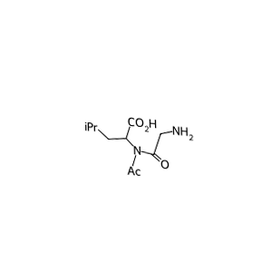 CC(=O)N(C(=O)CN)C(CC(C)C)C(=O)O